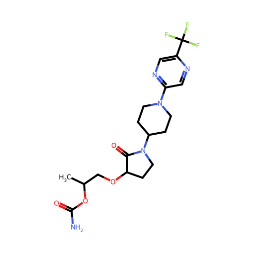 CC(COC1CCN(C2CCN(c3cnc(C(F)(F)F)cn3)CC2)C1=O)OC(N)=O